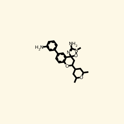 CC1CC(C2CC3(N=C(N)N(C)O3)c3cc(-c4cccc(N)c4)ccc3O2)CC(C)O1